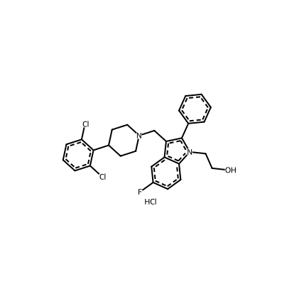 Cl.OCCn1c(-c2ccccc2)c(CN2CCC(c3c(Cl)cccc3Cl)CC2)c2cc(F)ccc21